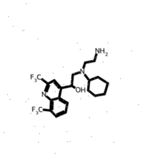 NCCN(CC(O)c1cc(C(F)(F)F)nc2c(C(F)(F)F)cccc12)C1CCCCC1